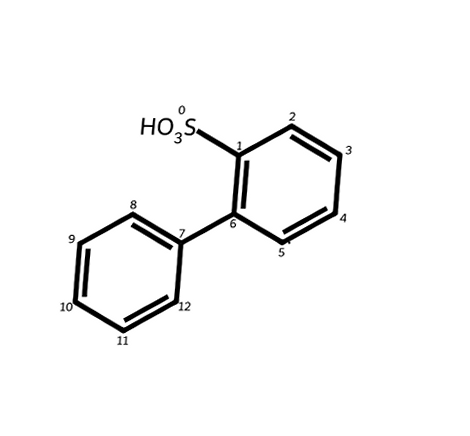 O=S(=O)(O)c1ccc[c]c1-c1ccccc1